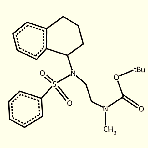 CN(CCN(C1CCCc2ccccc21)S(=O)(=O)c1ccccc1)C(=O)OC(C)(C)C